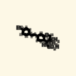 CCc1ccc(/C=C/c2ccc3c(c2)OCC(C)(C)C3NC(=O)O)cc1